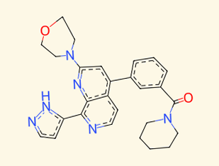 O=C(c1cccc(-c2cc(N3CCOCC3)nc3c(-c4ccn[nH]4)nccc23)c1)N1CCCCC1